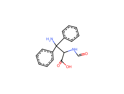 NC(c1ccccc1)(c1ccccc1)C(NC=O)C(=O)O